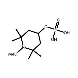 CON1C(C)(C)CC(OP(=O)(O)O)CC1(C)C